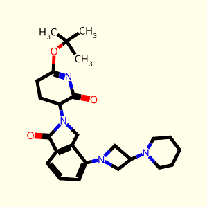 CC(C)(C)OC1=NC(=O)C(N2Cc3c(cccc3N3CC(N4CCCCC4)C3)C2=O)CC1